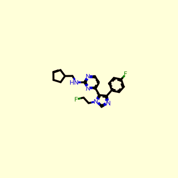 FCCn1cnc(-c2ccc(F)cc2)c1-c1ccnc(NCC2CCCC2)n1